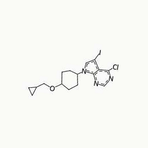 Clc1ncnc2c1c(I)cn2C1CCC(OCC2CC2)CC1